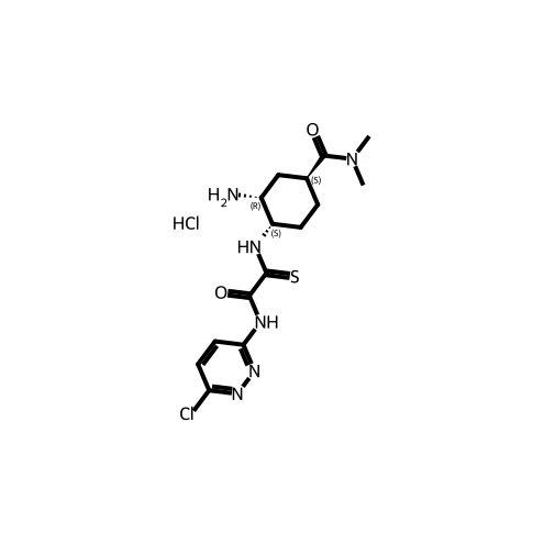 CN(C)C(=O)[C@H]1CC[C@H](NC(=S)C(=O)Nc2ccc(Cl)nn2)[C@H](N)C1.Cl